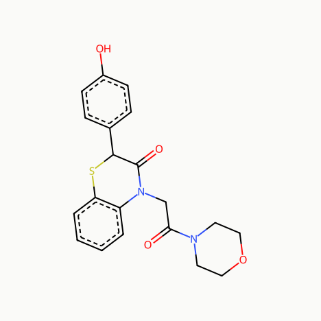 O=C(CN1C(=O)C(c2ccc(O)cc2)Sc2ccccc21)N1CCOCC1